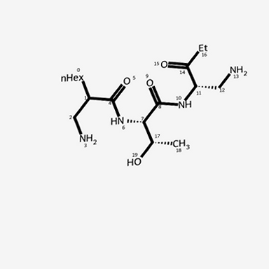 CCCCCCC(CN)C(=O)N[C@H](C(=O)N[C@@H](CN)C(=O)CC)[C@H](C)O